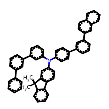 CC1(C)c2ccccc2-c2ccc(N(c3ccc(-c4cccc(-c5ccc6ccccc6c5)c4)cc3)c3cccc(-c4cccc(-c5ccccc5)c4)c3)cc21